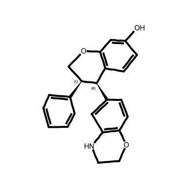 Oc1ccc2c(c1)OC[C@H](c1ccccc1)[C@@H]2c1ccc2c(c1)NCCO2